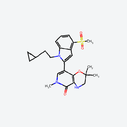 Cn1cc(-c2cc3c(S(C)(=O)=O)cccc3n2CCC2CC2)c2c(c1=O)NCC(C)(C)O2